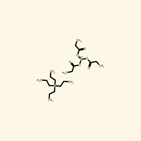 CCC(=O)O[BH-](OC(=O)CC)OC(=O)CC.CCC[N+](CCC)(CCC)CCC